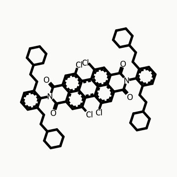 O=C1c2cc(Cl)c3c4c(Cl)cc5c6c(cc(Cl)c(c7c(Cl)cc(c2c37)C(=O)N1c1c(CCC2CCCCC2)cccc1CCC1CCCCC1)c64)C(=O)N(c1c(CCC2CCCCC2)cccc1CCC1CCCCC1)C5=O